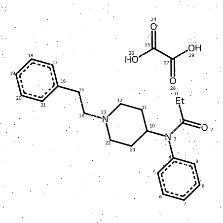 CCC(=O)N(c1ccccc1)C1CCN(CCc2ccccc2)CC1.O=C(O)C(=O)O